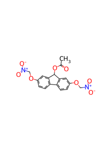 CC(=O)OC1c2cc(OC[N+](=O)[O-])ccc2-c2ccc(OC[N+](=O)[O-])cc21